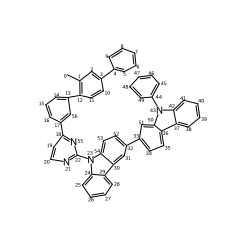 Cc1cc(-c2ccccc2)ccc1-c1cccc(-c2ccnc(-n3c4ccccc4c4cc(-c5ccc6c7ccccc7n(-c7ccccc7)c6c5)ccc43)n2)c1